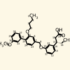 CCCCOc1cc(COc2cccc([C@@H](CC)CC(=O)O)c2)ccc1-c1cccc(OC)c1